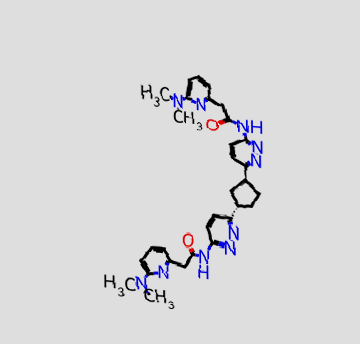 CN(C)c1cccc(CC(=O)Nc2ccc([C@H]3CC[C@H](c4ccc(NC(=O)Cc5cccc(N(C)C)n5)nn4)C3)nn2)n1